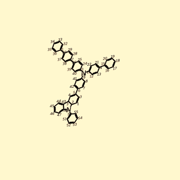 C1=CC2C(C=C1c1ccc(N(c3ccc(-c4ccccc4)cc3)c3ccc(-c4ccc(-c5ccccc5)cc4)cc3)cc1)c1ccccc1N2c1ccccc1